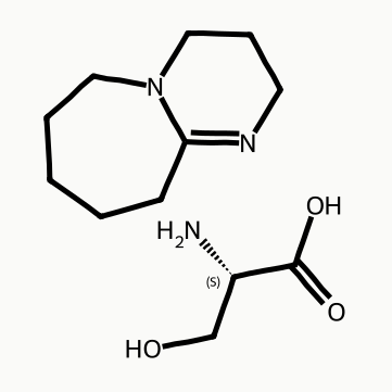 C1CCC2=NCCCN2CC1.N[C@@H](CO)C(=O)O